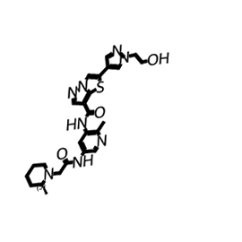 Cc1ncc(NC(=O)CN2CCCC[C@@H]2C)cc1NC(=O)c1cnn2cc(-c3cnn(CCO)c3)sc12